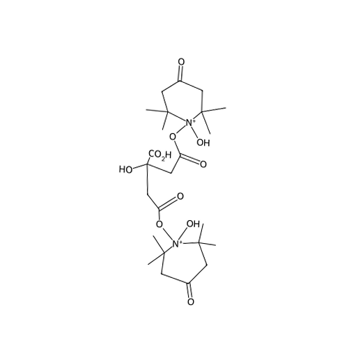 CC1(C)CC(=O)CC(C)(C)[N+]1(O)OC(=O)CC(O)(CC(=O)O[N+]1(O)C(C)(C)CC(=O)CC1(C)C)C(=O)O